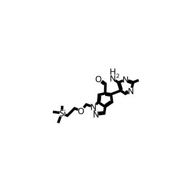 Cc1ncc(-c2cc3cnn(COCC[Si](C)(C)C)c3cc2C=O)c(N)n1